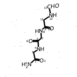 NC(=O)CNC(=O)CNC(=O)CNC=O